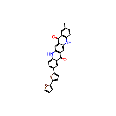 Cc1ccc2[nH]c3cc4c(=O)c5cc(-c6ccc(-c7cccs7)s6)ccc5[nH]c4cc3c(=O)c2c1